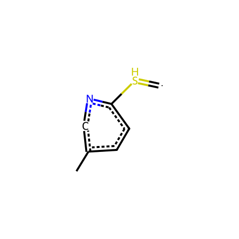 [CH]=[SH]c1ccc(C)cn1